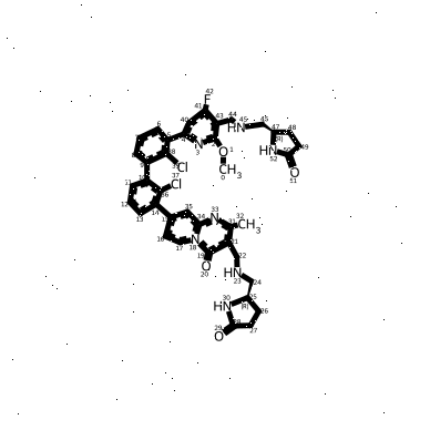 COc1nc(-c2cccc(-c3cccc(-c4ccn5c(=O)c(CNC[C@H]6CCC(=O)N6)c(C)nc5c4)c3Cl)c2Cl)cc(F)c1CNC[C@H]1CCC(=O)N1